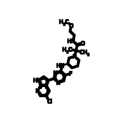 COCCNC(=O)C(C)(C)N1CCC[C@H](Nc2nc(-c3c[nH]c4ncc(Cl)cc34)ncc2F)C1